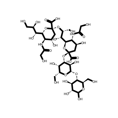 O=C(CO)N[C@H]1[C@H]([C@H](O)[C@H](O)CO)O[C@@](O[C@H](CO)[C@@H](O)[C@@H]2O[C@@](O[C@H]3[C@@H](O)[C@@H](CO)O[C@@H](O[C@H]4[C@H](O)[C@@H](O)C(O)O[C@@H]4CO)[C@@H]3O)(C(=O)O)C[C@H](O)[C@H]2NC(=O)CO)(C(=O)O)C[C@@H]1O